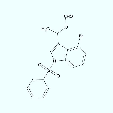 CC(OC=O)c1cn(S(=O)(=O)c2ccccc2)c2cccc(Br)c12